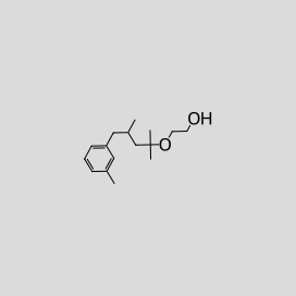 Cc1cccc(CC(C)CC(C)(C)OCCO)c1